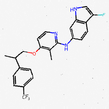 Cc1c(OCC(C)c2ccc(C(F)(F)F)cc2)ccnc1Nc1ccc2c(F)c[nH]c2c1